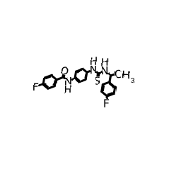 CC(NC(=S)Nc1ccc(NC(=O)c2ccc(F)cc2)cc1)c1ccc(F)cc1